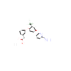 COC(=O)Cc1cccc(Oc2ccc(Oc3cccc(CN)n3)cc2C(F)(F)F)c1